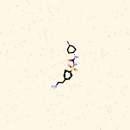 C[C@H]1CC[C@H](NC(=O)NS(=O)(=O)c2ccc(CCN)cc2)CC1